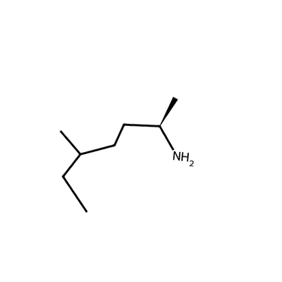 CCC(C)CC[C@@H](C)N